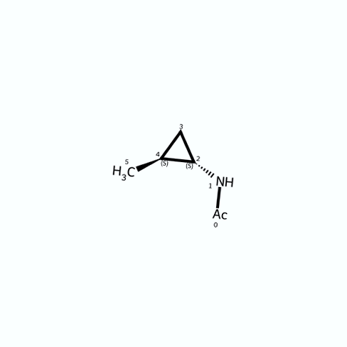 CC(=O)N[C@H]1C[C@@H]1C